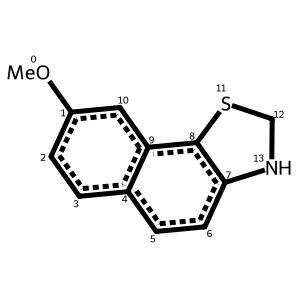 COc1ccc2ccc3c(c2c1)SCN3